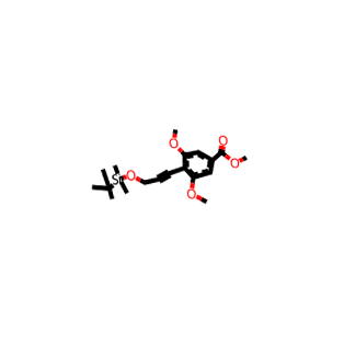 COC(=O)c1cc(OC)c(C#CCO[Si](C)(C)C(C)(C)C)c(OC)c1